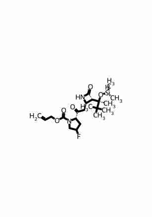 C=CCOC(=O)N1CC(F)C[C@H]1C(=O)C[C@H]1NC(=O)[C@@H]1[C@@](C)(O[SiH](C)C)C(C)(C)C